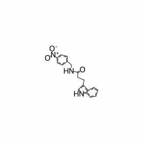 O=C(CCc1c[nH]c2ccccc12)NCc1ccc([N+](=O)[O-])cc1